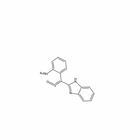 CC(=O)Nc1ccccc1C(=S=O)c1nc2ccccc2[nH]1